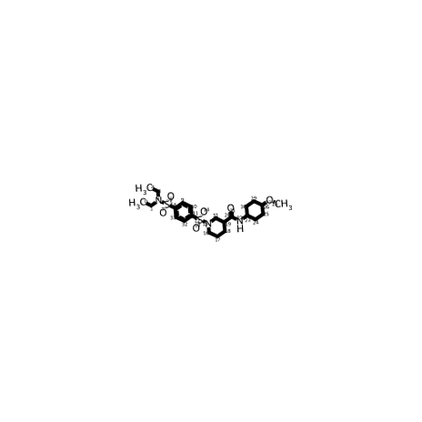 CCN(CC)S(=O)(=O)c1ccc(S(=O)(=O)N2CCCC(C(=O)NC3CCC(OC)CC3)C2)cc1